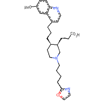 COc1ccc2nccc(CCC[C@@H]3CCN(CCCCc4ncco4)C[C@@H]3CCC(=O)O)c2c1